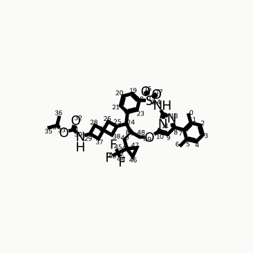 Cc1cccc(C)c1-c1cc2nc(n1)NS(=O)(=O)c1cccc(c1)C(C1CC3(CC(NC(=O)OC(C)C)C3)C1)[C@H](CC1(C(F)(F)F)CC1)CO2